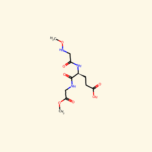 CONCC(=O)N[C@@H](CCC(=O)O)C(=O)NCC(=O)OC